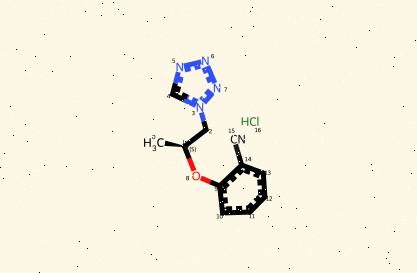 C[C@@H](Cn1cnnn1)Oc1ccccc1C#N.Cl